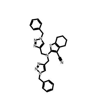 N#Cc1c(N(Cc2cn(Cc3ccccc3)nn2)Cc2cn(Cc3ccccc3)nn2)sc2c1CCCC2